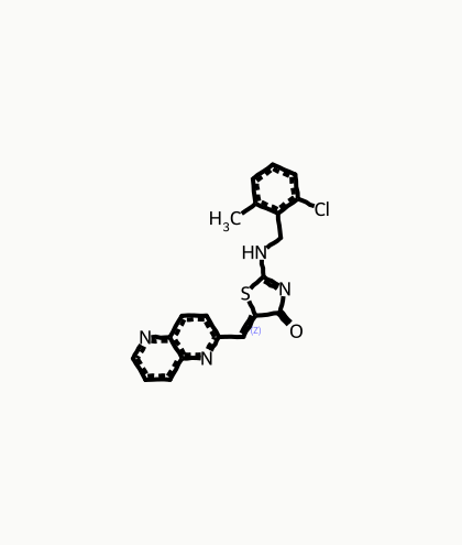 Cc1cccc(Cl)c1CNC1=NC(=O)/C(=C/c2ccc3ncccc3n2)S1